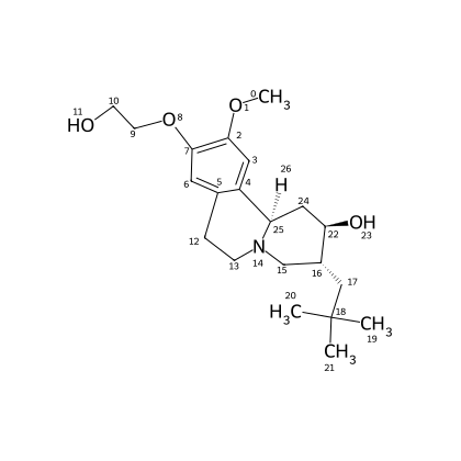 COc1cc2c(cc1OCCO)CCN1C[C@@H](CC(C)(C)C)[C@H](O)C[C@H]21